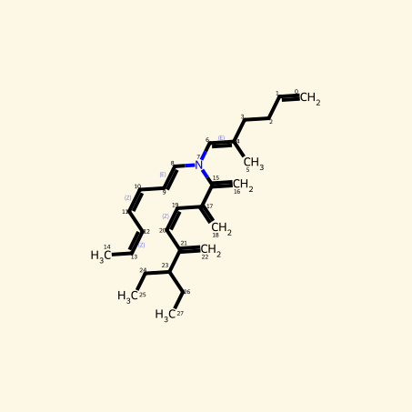 C=CCC/C(C)=C/N(/C=C/C=C\C=C/C)C(=C)C(=C)/C=C\C(=C)C(CC)CC